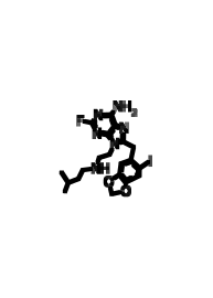 CC(C)CCNCCn1c(Cc2cc3c(cc2I)OCO3)nc2c(N)nc(F)nc21